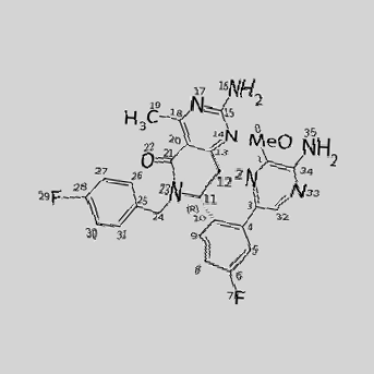 COc1nc(-c2cc(F)ccc2[C@H]2Cc3nc(N)nc(C)c3C(=O)N2Cc2ccc(F)cc2)cnc1N